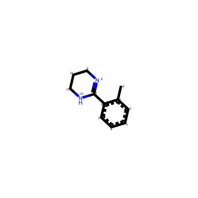 Cc1ccccc1C1=NCCCN1